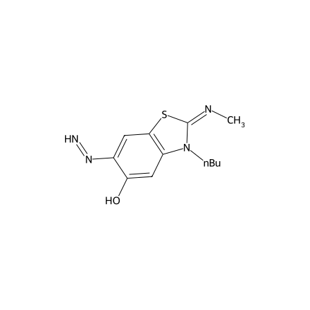 CCCCn1/c(=N\C)sc2cc(N=N)c(O)cc21